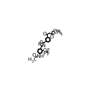 CCC1(CC)CC(=O)c2cc(-c3nc(-c4ccc(NC(C)=O)cc4OC(F)(F)F)no3)ccc2O1